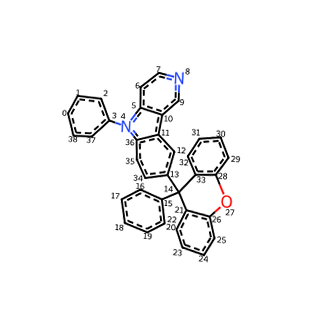 c1ccc(-n2c3ccncc3c3cc(C4(c5ccccc5)c5ccccc5Oc5ccccc54)ccc32)cc1